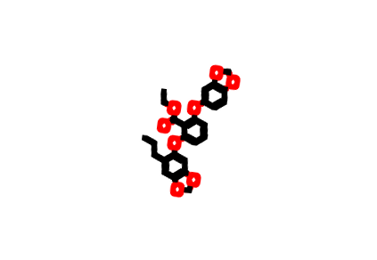 CCCc1cc2c(cc1Oc1cccc(Oc3ccc4c(c3)OCO4)c1C(=O)OCC)OCO2